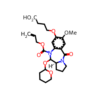 C=CCOC(=O)N1c2cc(OCCCC(=O)O)c(OC)cc2C(=O)N2CCC[C@H]2C1OC1CCCCO1